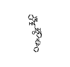 O=C(NCCNc1nsc2ccccc12)c1cc(N2CCN(c3ccccc3)CC2)ccn1